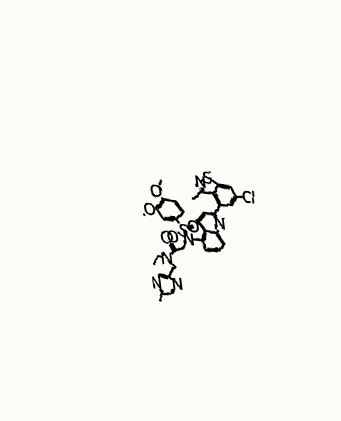 CCN(Cc1cnc(C)cn1)C(=O)CN(c1cccc2nc(-c3cc(Cl)cc4snc(C)c34)ccc12)S(=O)(=O)c1ccc(OC)c(OC)c1